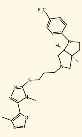 Cc1ncoc1-c1nnc(SCCCN2C[C@H]3N(c4ccc(C(F)(F)F)cc4)CC[C@@]3(C)C2)n1C